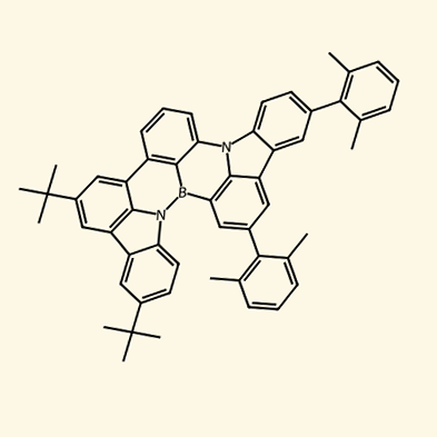 Cc1cccc(C)c1-c1ccc2c(c1)c1cc(-c3c(C)cccc3C)cc3c1n2-c1cccc2c1B3n1c3ccc(C(C)(C)C)cc3c3cc(C(C)(C)C)cc-2c31